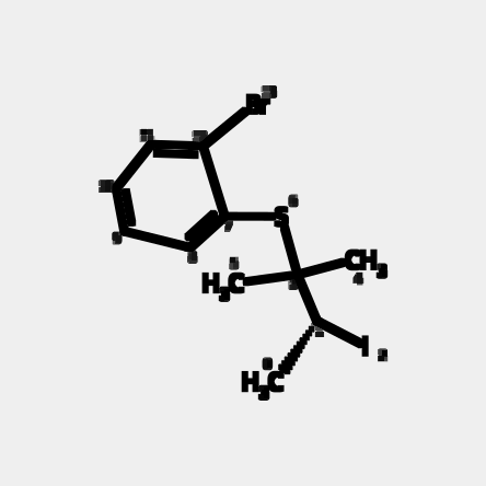 C[C@@H](I)C(C)(C)Sc1ccccc1Br